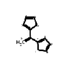 C=C(C1=CC=CC1)C1=CC=CC1